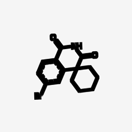 O=C1NC(=O)C2(CCCCC2)c2cc(Br)ccc21